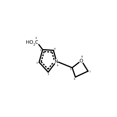 O=C(O)c1ccn(C2CCO2)c1